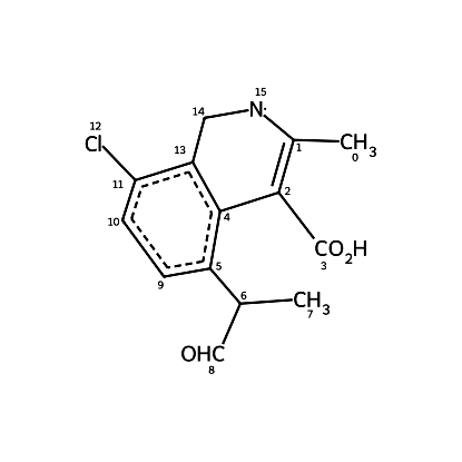 CC1=C(C(=O)O)c2c(C(C)C=O)ccc(Cl)c2C[N]1